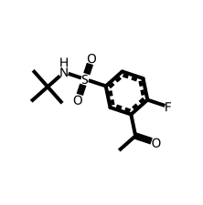 CC(=O)c1cc(S(=O)(=O)NC(C)(C)C)ccc1F